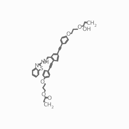 C=CC(=O)OCCCOc1ccc(C#Cc2ccc(C#Cc3ccc(OCCCOC(O)C=C)cc3)cc2/C=N/Nc2nc3ccccc3s2)cc1